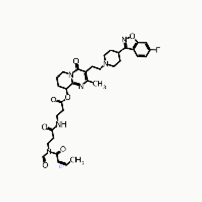 C/C=C\C(=O)N(C=O)CCC(=O)NCCC(=O)OC1CCCn2c1nc(C)c(CCN1CCC(c3noc4cc(F)ccc34)CC1)c2=O